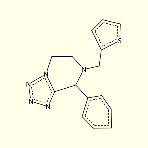 c1ccc(C2c3nnnn3CCN2Cc2cccs2)cc1